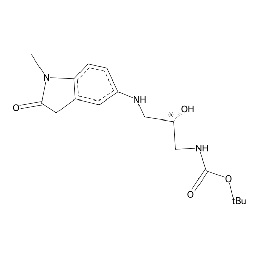 CN1C(=O)Cc2cc(NC[C@H](O)CNC(=O)OC(C)(C)C)ccc21